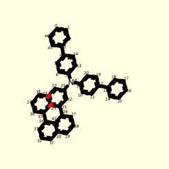 c1ccc(-c2ccc(N(c3ccc(-c4ccccc4)cc3)c3cccc(-c4cccc5cccc(-c6ccccc6)c45)c3)cc2)cc1